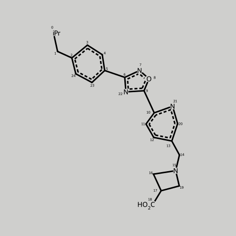 CC(C)Cc1ccc(-c2noc(-c3ccc(CN4CC(C(=O)O)C4)cn3)n2)cc1